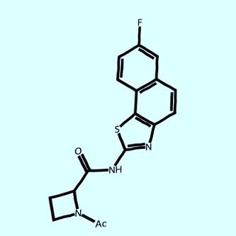 CC(=O)N1CCC1C(=O)Nc1nc2ccc3cc(F)ccc3c2s1